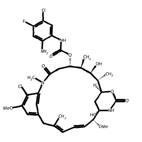 COc1cc2cc(c1Cl)N(C)C(=O)C[C@H](OC(=O)Nc1cc(Cl)c(F)cc1N)[C@@H](C)[C@@H](O)[C@H](C)[C@@H]1C[C@@](O)(NC(=O)O1)[C@H](OC)/C=C/C=C(\C)C2